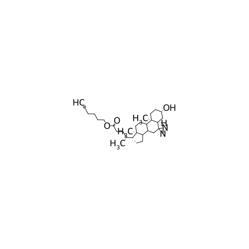 C#CCCCCOC(=O)CC[C@@H](C)[C@H]1CCC2C3CC4(N=N4)[C@@H]4C[C@@H](O)CC[C@]4(C)C3CC[C@@]21C